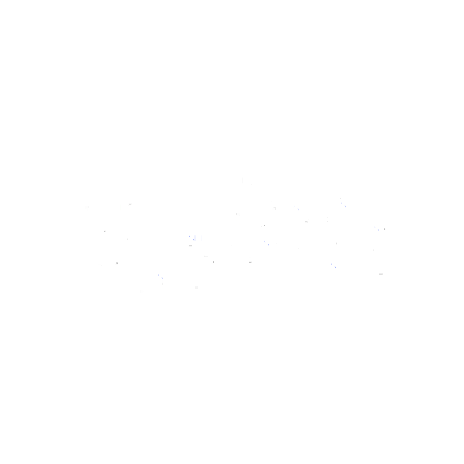 C[C@H](NC(=O)c1ncnc2scnc12)c1ncc(C(=O)Nc2cc(C(F)(F)F)c(Cl)cn2)s1